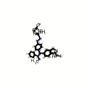 CC/C(=C(/c1ccc(/C=C/c2noc(=O)[nH]2)cc1)c1ccc2c(cnn2PI)c1)c1ccccc1